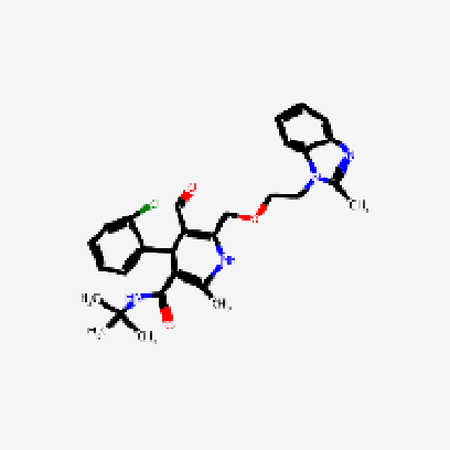 CC1=C(C(=O)NC(C)(C)C)C(c2ccccc2Cl)C(C=O)=C(COCCn2c(C)nc3ccccc32)N1